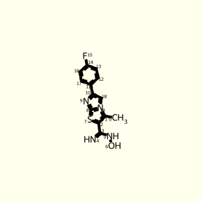 Cc1c(C(=N)NO)sc2nc(-c3ccc(F)cc3)cn12